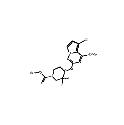 COc1nc(N[C@@H]2CCN(C(=O)OC(C)(C)C)CC2(F)F)nn2ccc(Cl)c12